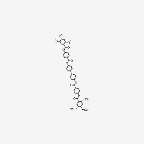 COc1cc(OC)c(C(=O)Oc2ccc(C(=O)Oc3ccc(-c4ccc(OC(=O)c5ccc(OC(=O)c6cc(CO)c(CO)cc6CO)cc5)cc4)cc3)cc2)cc1OC